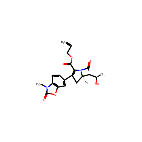 C=CCOC(=O)C1=C(c2ccc3c(c2)oc(=O)n3C)C[C@@H]2[C@@H]([C@@H](C)O)C(=O)N12